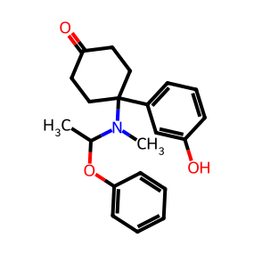 CC(Oc1ccccc1)N(C)C1(c2cccc(O)c2)CCC(=O)CC1